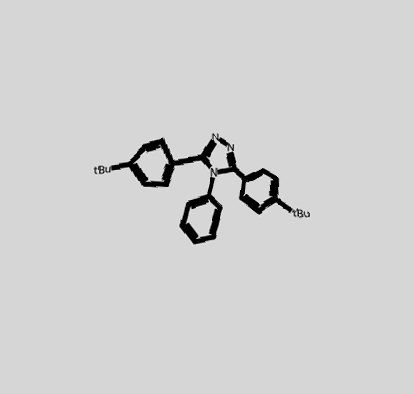 CC(C)(C)c1ccc(-c2nnc(-c3ccc(C(C)(C)C)cc3)n2-c2ccccc2)cc1